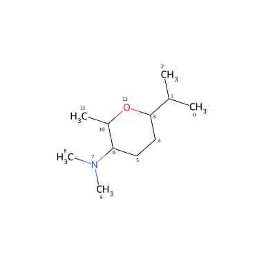 CC(C)C1CCC(N(C)C)C(C)O1